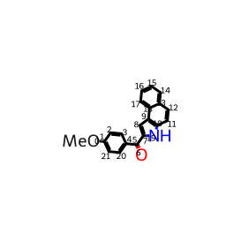 COc1ccc(C(=O)c2cc3c(ccc4ccccc43)[nH]2)cc1